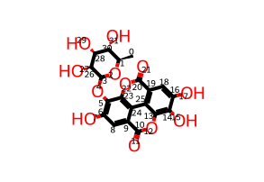 C[C@H]1OC(Oc2c(O)cc3c(=O)oc4c(O)c(O)cc5c(=O)oc2c3c45)[C@@H](O)[C@@H](O)[C@@H]1O